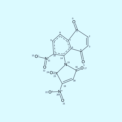 O=C1C=CC(=O)c2c1ccc([N+](=O)[O-])c2N1C(=O)C=C([N+](=O)[O-])C1=O